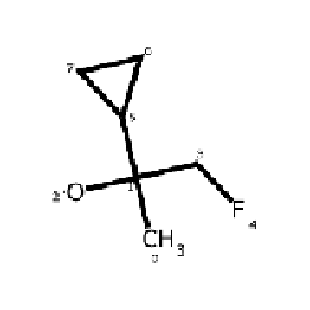 CC([O])(CF)C1CC1